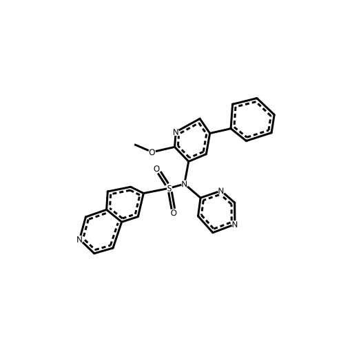 COc1ncc(-c2ccccc2)cc1N(c1ccncn1)S(=O)(=O)c1ccc2cnccc2c1